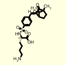 CC12CCC(C(=Cc3ccc(S(=O)(=O)N[C@@H](CCCCN)C(=O)O)cc3)C1=O)C2(C)C